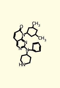 CC1CC(C)CC(n2c(=O)ccc3cnc(N(c4ccccc4)C4CCNCC4)nc32)C1